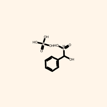 O=P(O)(O)O.O=[PH](O)C(O)c1ccccc1